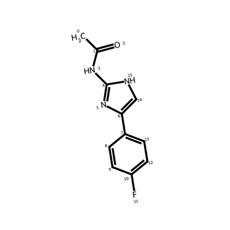 CC(=O)Nc1nc(-c2ccc(F)cc2)c[nH]1